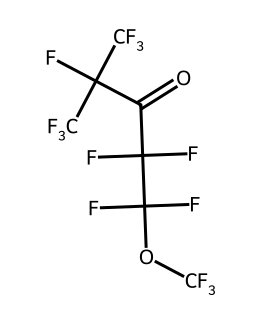 O=C(C(F)(F)C(F)(F)OC(F)(F)F)C(F)(C(F)(F)F)C(F)(F)F